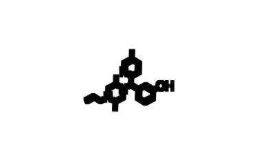 C=CCN1CC(C)N(C(c2cccc(O)c2)c2ccc(C)cn2)CC1C